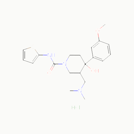 COc1cccc(C2(O)CCN(C(=O)Nc3cccs3)CC2CN(C)C)c1.Cl